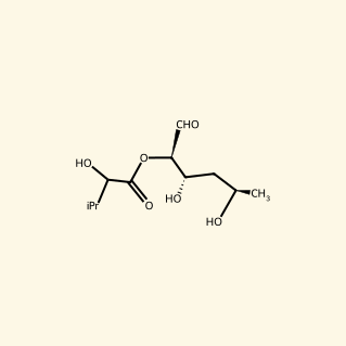 CC(C)C(O)C(=O)O[C@@H](C=O)[C@@H](O)C[C@@H](C)O